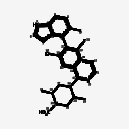 Cc1ccc2[nH]ncc2c1-c1c(Cl)cc2c(N3CC(C)N(C(=O)O)CC3C)ncnc2c1F